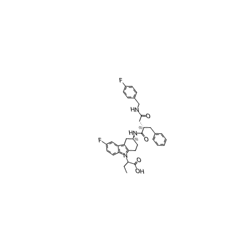 CCC(C(=O)O)n1c2c(c3cc(F)ccc31)C[C@@H](NC(=O)[C@H](CC(=O)NCc1ccc(F)cc1)Cc1ccccc1)CC2